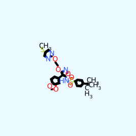 CSc1cnc(OCCOc2noc(NS(=O)(=O)c3ccc(C(C)(C)C)cc3)c2-c2ccc3c(c2)OCO3)nc1